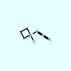 [N-]=[N+]=N[N+]1([O-])CCC1